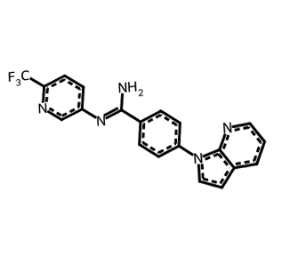 N/C(=N\c1ccc(C(F)(F)F)nc1)c1ccc(-n2ccc3cccnc32)cc1